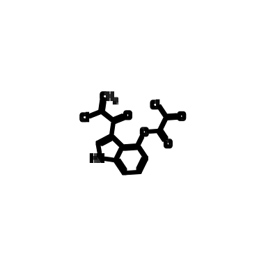 C=C(Cl)C(=O)c1c[nH]c2cccc(OC(=O)C(=O)Cl)c12